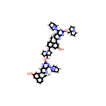 C#Cc1cccc2cc(O)cc(-c3cnc4c(N5CC6CCC(C5)N6)nc(OCC56CCCN5C(c5ccc(C#C)c7c(-c8ccc9c(N%10CC%11CCC(C%10)N%11)nc(OCC%10%11CCCN%10CCC%11)nc9n8)cc(O)cc57)CC6)nc4c3)c12